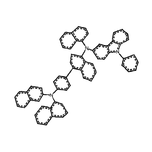 c1ccc(-n2c3ccccc3c3cc(N(c4cccc5ccccc45)c4ccc(-c5ccc(N(c6ccc7ccccc7c6)c6cccc7ccccc67)cc5)c5ccccc45)ccc32)cc1